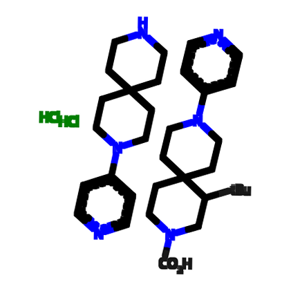 CC(C)(C)C1CN(C(=O)O)CCC12CCN(c1ccncc1)CC2.Cl.Cl.c1cc(N2CCC3(CCNCC3)CC2)ccn1